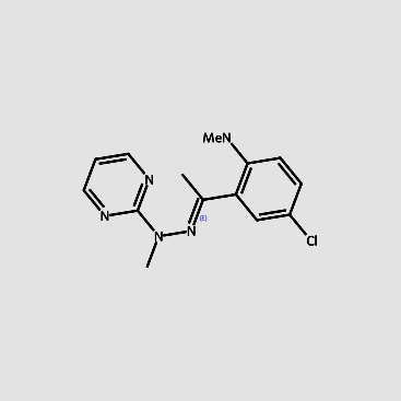 CNc1ccc(Cl)cc1/C(C)=N/N(C)c1ncccn1